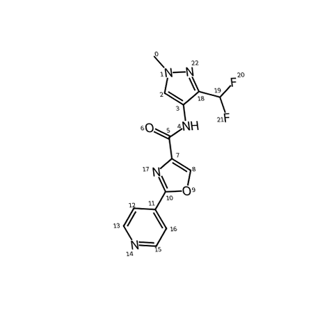 Cn1cc(NC(=O)c2coc(-c3ccncc3)n2)c(C(F)F)n1